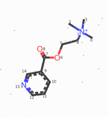 C[N+](C)(C)CCOC(=O)c1cccnc1